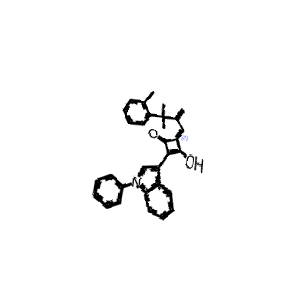 C=C(/C=C1\C(=O)C(c2cn(-c3ccccc3)c3ccccc23)=C1O)C(C)(C)c1ccccc1C